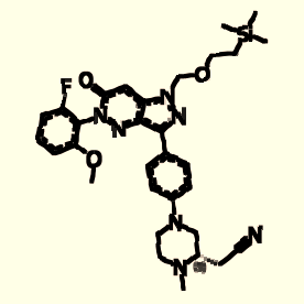 COc1cccc(F)c1-n1nc2c(-c3ccc(N4CCN(C)[C@@H](CC#N)C4)cc3)nn(COCC[Si](C)(C)C)c2cc1=O